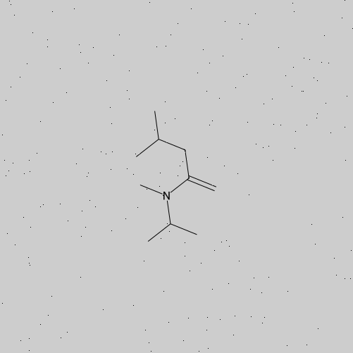 C=C(CC(C)C)N(C)C(C)C